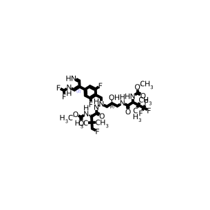 COC(=O)NC(C(=O)NC[C@@H](O)CN(Cc1c(F)cc(/C(C=N)=C/NC(F)F)cc1F)NC(=O)[C@@H](NC(=O)OC)C(C)(C)CF)C(C)(C)C(F)(F)F